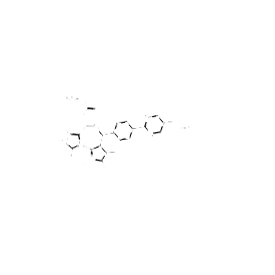 COC(=O)C[C@@H]1N=C(c2ccc(-c3ncc(OCC(=O)O)cn3)cc2)c2c(sc(C)c2C)-n2c(C)nnc21